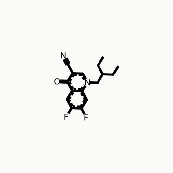 CCC(CC)Cn1cc(C#N)c(=O)c2cc(F)c(F)cc21